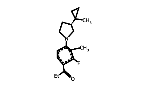 CCC(=O)c1ccc(N2CC[C@@H](C3(C)CC3)C2)c(C)c1F